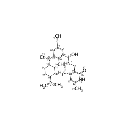 C#Cc1cc(C(O)NCc2c(C)cc(C)[nH]c2=O)c(C)c(N(CC)C2CCC(N(C)C)CC2)c1